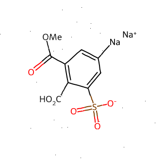 COC(=O)c1c[c]([Na])cc(S(=O)(=O)[O-])c1C(=O)O.[Na+]